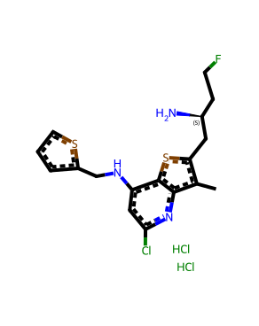 Cc1c(C[C@@H](N)CCF)sc2c(NCc3cccs3)cc(Cl)nc12.Cl.Cl